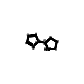 c1cnn([C@H]2CCCN2)c1